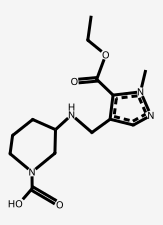 CCOC(=O)c1c(CNC2CCCN(C(=O)O)C2)cnn1C